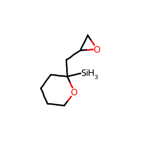 [SiH3]C1(CC2CO2)CCCCO1